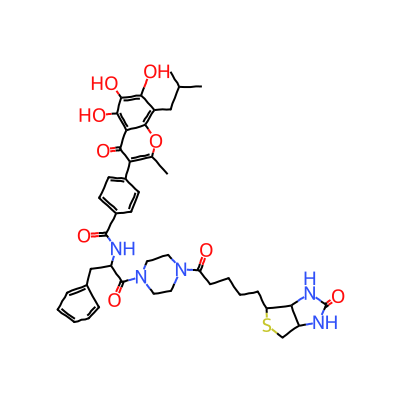 Cc1oc2c(CC(C)C)c(O)c(O)c(O)c2c(=O)c1-c1ccc(C(=O)NC(Cc2ccccc2)C(=O)N2CCN(C(=O)CCCCC3SCC4NC(=O)NC43)CC2)cc1